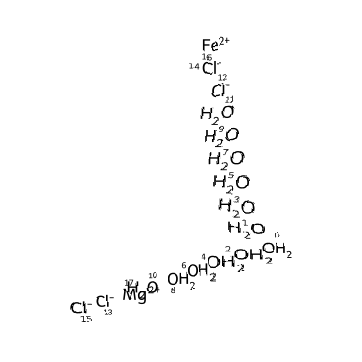 O.O.O.O.O.O.O.O.O.O.O.O.[Cl-].[Cl-].[Cl-].[Cl-].[Fe+2].[Mg+2]